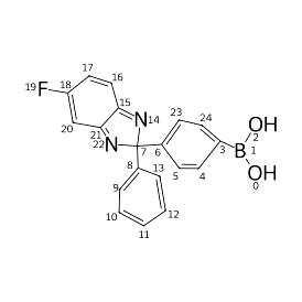 OB(O)c1ccc(C2(c3ccccc3)N=c3ccc(F)cc3=N2)cc1